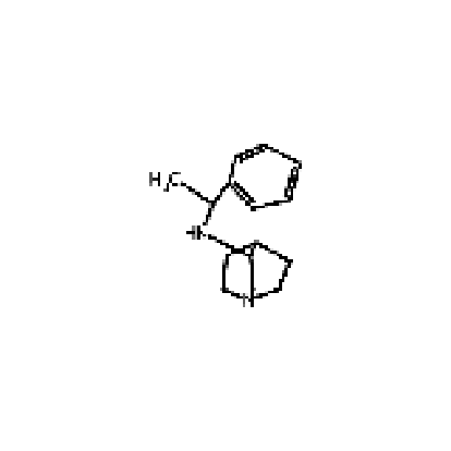 CC(NC1CN2CCC1CC2)c1ccccc1